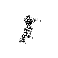 CCOC(=O)CN(c1ccc2c(c1)CCCN2C(=O)CCc1ccc(C(=O)OC)cc1C(=N)N)S(=O)(=O)c1cccc2cccnc12